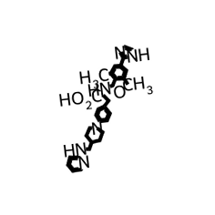 Cc1cc(-c2ncc[nH]2)cc(C)c1C(=O)NC(Cc1ccc(N2CCC(CNc3ccccn3)CC2)cc1)C(=O)O